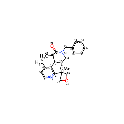 COC1(c2nccc(C)c2C2CCN(Cc3ccccc3)C(=O)C2C)COC1